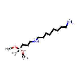 CO[Si](C)(CCCNCCCCCCCCN)OC